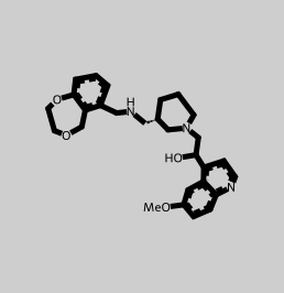 COc1ccc2nccc(C(O)CN3CCC[C@@H](CNCc4cccc5c4COCCO5)C3)c2c1